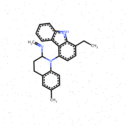 C=NC1CCc2cc(C)ccc2N1c1ccc(CC)c2[nH]c3ccccc3c12